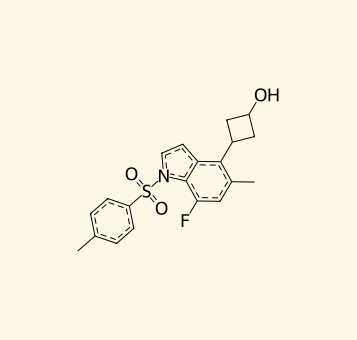 Cc1ccc(S(=O)(=O)n2ccc3c(C4CC(O)C4)c(C)cc(F)c32)cc1